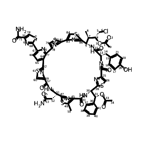 CC(=O)O[C@@H](CCl)[C@H](C)[C@@H]1NC(=O)[C@H](Cc2ccc(O)cc2)NC(=O)c2csc(n2)[C@H]([C@H](OC(C)=O)c2ccccc2)NC(=O)c2nc(sc2C)[C@H](CC(N)=O)NC(=O)c2csc(n2)-c2ccc(-c3nc(C(N)=O)cs3)nc2-c2csc(n2)-c2csc1n2